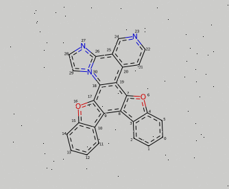 c1ccc2c(c1)oc1c2c2c3ccccc3oc2c2c1c1ccncc1c1nccn12